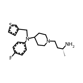 C[C@@H](N)CCN1CCC(N(Cc2ccsc2)c2ccc(F)cc2)CC1